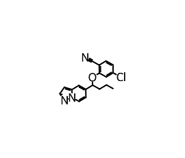 CCCC(Oc1cc(Cl)ccc1C#N)c1ccn2nccc2c1